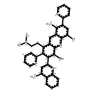 CCc1cc(-c2ccccn2)c(C)c2[c]c3c(CCN(CC)CC)c(-c4ccccn4)c(-c4cc(C)c5ccccc5n4)c(C(C)CC)c3nc12